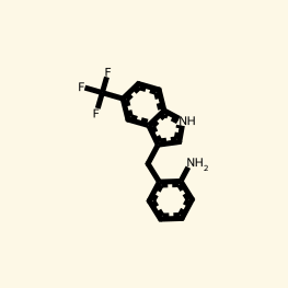 Nc1ccccc1Cc1c[nH]c2ccc(C(F)(F)F)cc12